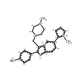 CN1CCN(Cc2c(-c3ccc(C#N)cc3)nc3ccc(-c4cccn4C)cn23)CC1